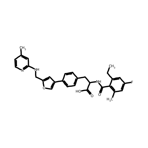 CCc1cc(F)cc(C)c1C(=O)NC(Cc1ccc(-c2coc(CNc3cc(C)ccn3)c2)cc1)C(=O)O